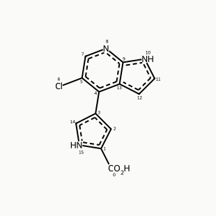 O=C(O)c1cc(-c2c(Cl)cnc3[nH]ccc23)c[nH]1